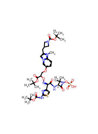 C[n+]1c(CC2CN(C(=O)OC(C)(C)C)C2)cn2cc(OCC(O/N=C(\C(=O)N[C@@H]3C(=O)N(OS(=O)(=O)O)C3(C)C)c3csc(NC(=O)OC(C)(C)C)n3)C(=O)OC(C)(C)C)ccc21